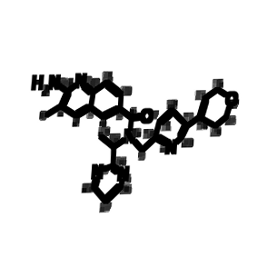 Cc1cc2cc(C(=O)N(Cc3ccc(C4=CCOCC4)cn3)C(C)c3ncccn3)ccc2nc1N